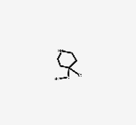 CCCOC1(CC)CCNCC1